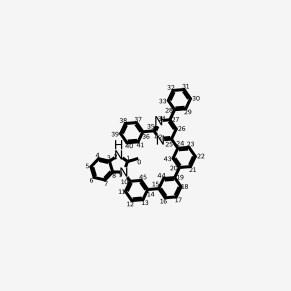 CC1Nc2ccccc2N1c1cccc(-c2cccc(-c3cccc(-c4cc(-c5ccccc5)nc(-c5ccccc5)n4)c3)c2)c1